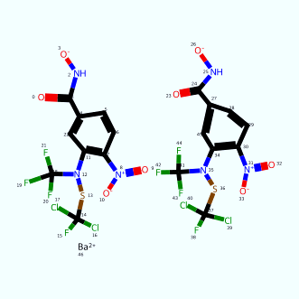 O=C(N[O-])c1ccc([N+](=O)[O-])c(N(SC(F)(Cl)Cl)C(F)(F)F)c1.O=C(N[O-])c1ccc([N+](=O)[O-])c(N(SC(F)(Cl)Cl)C(F)(F)F)c1.[Ba+2]